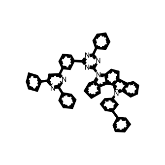 c1ccc(-c2cccc(-n3c4ccccc4c4ccc5c(c6ccccc6n5-c5nc(-c6ccccc6)nc(-c6cccc(-c7cc(-c8ccccc8)nc(-c8ccccc8)n7)c6)n5)c43)c2)cc1